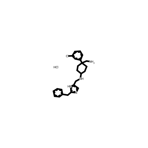 Cl.NCC1(c2cccc(Cl)c2)CCC(NCc2cnc(Cc3ccccc3)[nH]2)CC1